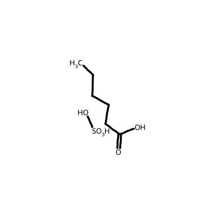 CCCCCC(=O)O.O=S(=O)(O)O